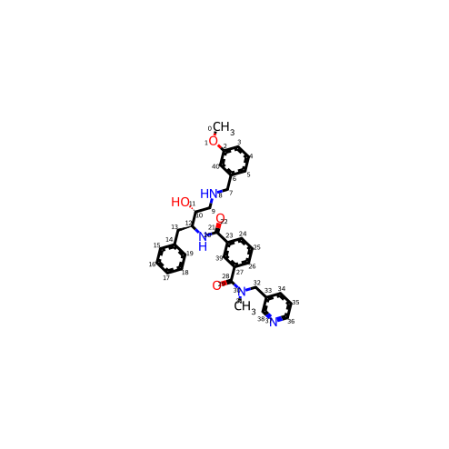 COc1cccc(CNC[C@@H](O)[C@H](Cc2ccccc2)NC(=O)c2cccc(C(=O)N(C)Cc3cccnc3)c2)c1